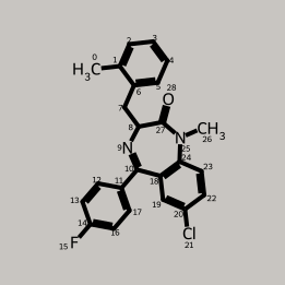 Cc1ccccc1CC1N=C(c2ccc(F)cc2)c2cc(Cl)ccc2N(C)C1=O